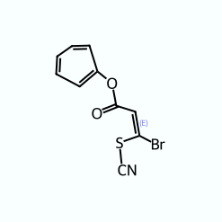 N#CS/C(Br)=C\C(=O)Oc1ccccc1